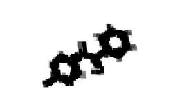 Cc1ccc(NC(=O)c2[c]cccc2)cn1